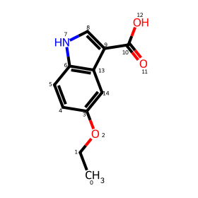 CCOc1ccc2[nH]cc(C(=O)O)c2c1